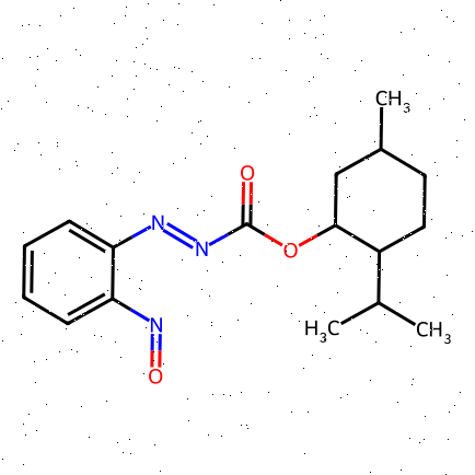 CC1CCC(C(C)C)C(OC(=O)N=Nc2ccccc2N=O)C1